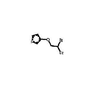 CCC(Br)COc1ccsc1